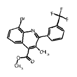 COC(=O)c1c(C)c(-c2cccc(C(F)(F)F)c2)nc2c(Br)cccc12